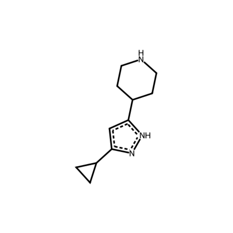 c1c(C2CC2)n[nH]c1C1CCNCC1